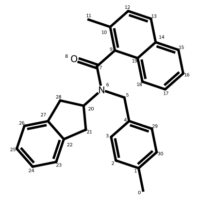 Cc1ccc(CN(C(=O)c2c(C)ccc3ccccc23)C2Cc3ccccc3C2)cc1